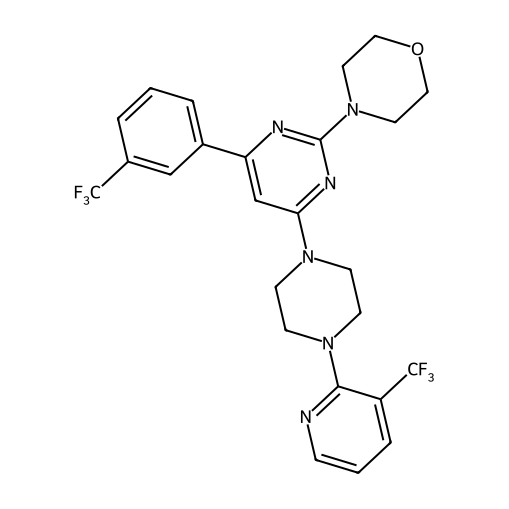 FC(F)(F)c1cccc(-c2cc(N3CCN(c4ncccc4C(F)(F)F)CC3)nc(N3CCOCC3)n2)c1